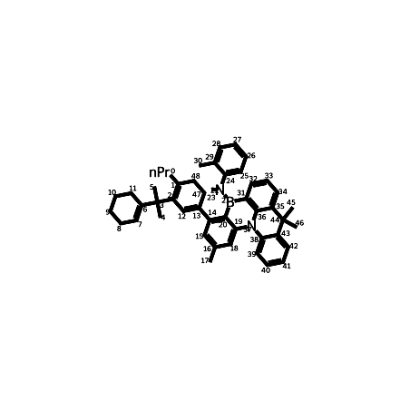 CCCC1=C(C(C)(C)C2=CCCCC2)C=C(c2cc(C)cc3c2B(N(C)c2ccccc2C)c2cccc4c2N3c2ccccc2C4(C)C)CC1